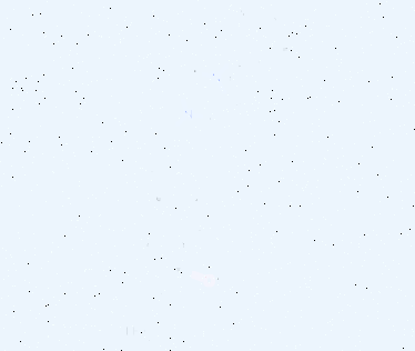 O=C(O)CCC(=O)c1ccc(CCCN2CCN(c3ccccc3)CC2)cc1